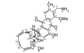 COc1c(CN)c(C)cc2c1C(=O)c1c(O)cc3c(c1C2=O)N[C@H]1C#C/C=C\C#C[C@@H](O)[C@@]32O[C@@]12[C@@H](C)O